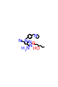 CCC[C@@H](O)CCOc1nc(N)c2cc(C#N)n(Cc3ccc(CN4CCCC4)cc3)c2n1